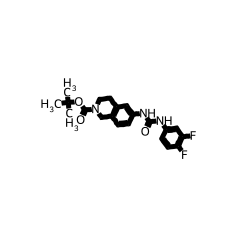 CC(C)(C)OC(=O)N1CCc2cc(NC(=O)Nc3ccc(F)c(F)c3)ccc2C1